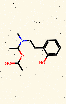 CC(O)OC(C)N(C)CCc1ccccc1O